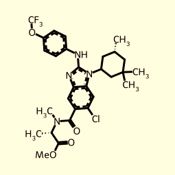 COC(=O)[C@H](C)N(C)C(=O)c1cc2nc(Nc3ccc(OC(F)(F)F)cc3)n(C3C[C@H](C)CC(C)(C)C3)c2cc1Cl